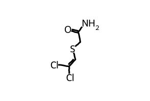 NC(=O)CSC=C(Cl)Cl